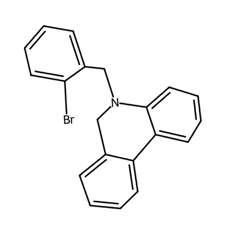 Brc1ccccc1CN1Cc2ccccc2-c2ccccc21